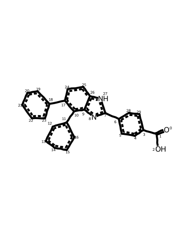 O=C(O)c1ccc(-c2nc3c(-c4ccccc4)c(-c4ccccc4)ccc3[nH]2)cc1